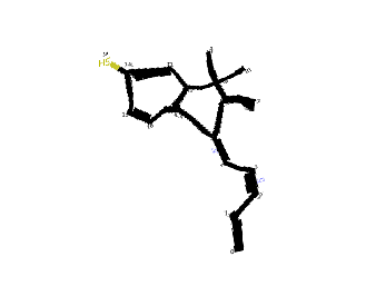 C=C/C=C\C=C1/C(=C)C(C)(C)C2C=C(S)C=CC12